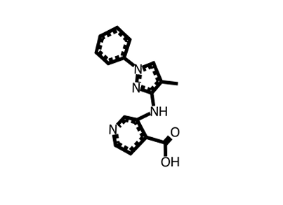 Cc1cn(-c2ccccc2)nc1Nc1cnccc1C(=O)O